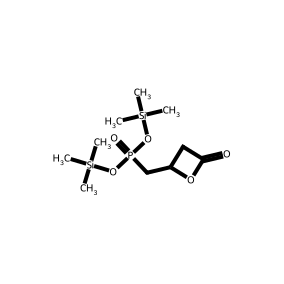 C[Si](C)(C)OP(=O)(CC1CC(=O)O1)O[Si](C)(C)C